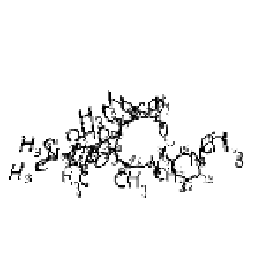 CO[C@]1(C)C[C@@H](C)CN(C)[C@H](C2CCCN(C)C2)COC(=O)C(C)(C)C(=O)[C@H](C)[C@H]1O[C@@H]1O[C@H](C)C[C@H](N(C)C)[C@H]1O